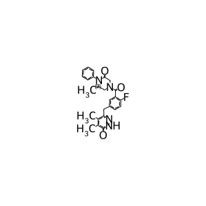 Cc1c(Cc2ccc(F)c(C(=O)N3CC(=O)N(c4ccccc4)[C@H](C)C3)c2)n[nH]c(=O)c1C